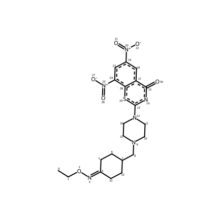 CCON=C1CCC(CN2CCN(c3nc(=O)c4cc([N+](=O)[O-])cc([N+](=O)[O-])c4s3)CC2)CC1